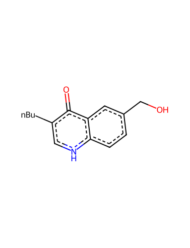 CCCCc1c[nH]c2ccc(CO)cc2c1=O